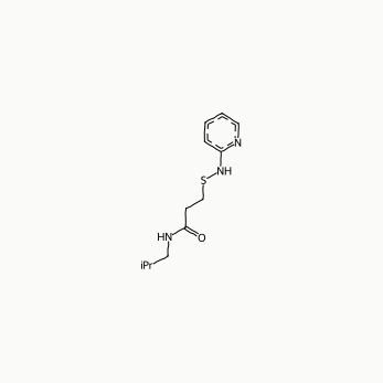 CC(C)CNC(=O)CCSNc1ccccn1